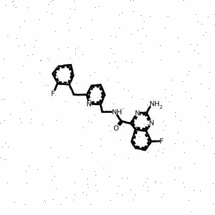 Nc1nc(C(=O)NCc2cccc(Cc3ccccc3F)n2)c2cccc(F)c2n1